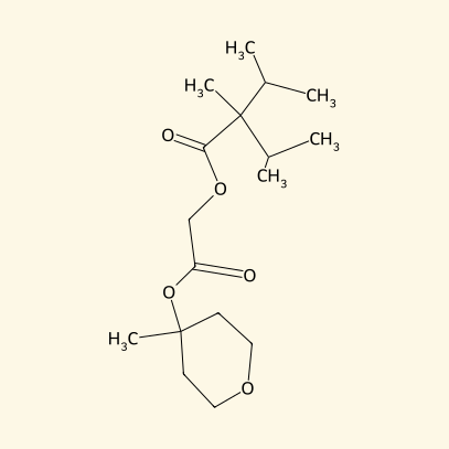 CC(C)C(C)(C(=O)OCC(=O)OC1(C)CCOCC1)C(C)C